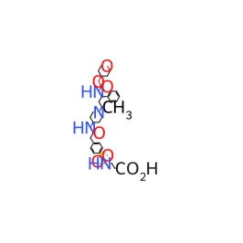 CC(CC(NC(=O)OC1CCOCC1)c1ccccc1)N1CCC(NC(=O)Cc2ccc(S(=O)(=O)NCCC(=O)O)cc2)CC1